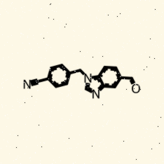 N#Cc1ccc(Cn2cnc3cc(C=O)ccc32)cc1